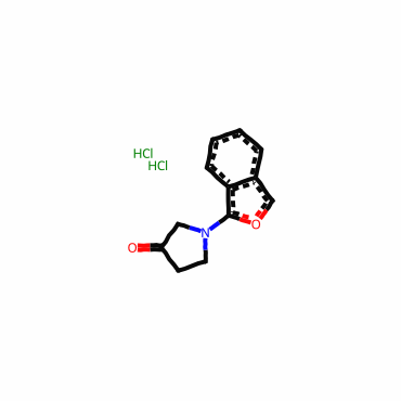 Cl.Cl.O=C1CCN(c2occ3ccccc23)C1